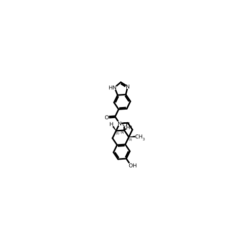 C[C@H]1[C@@H]2Cc3ccc(O)cc3[C@@]1(C)CCN2C(=O)c1ccc2nc[nH]c2c1